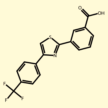 O=C(O)c1cccc(-c2nc(-c3ccc(C(F)(F)F)cc3)cs2)c1